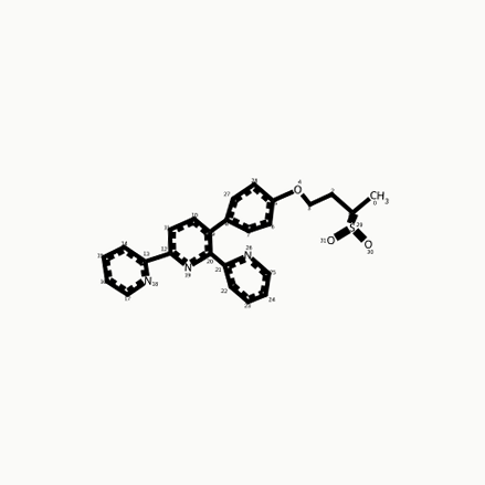 CC(CCOc1ccc(-c2ccc(-c3ccccn3)nc2-c2ccccn2)cc1)=S(=O)=O